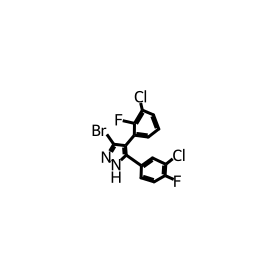 Fc1ccc(-c2[nH]nc(Br)c2-c2cccc(Cl)c2F)cc1Cl